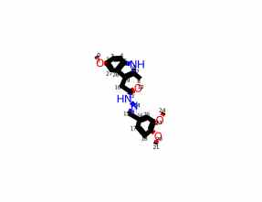 COc1ccc2[nH]c(C)c(CC(=O)N/N=C/c3ccc(OC)c(OC)c3)c2c1